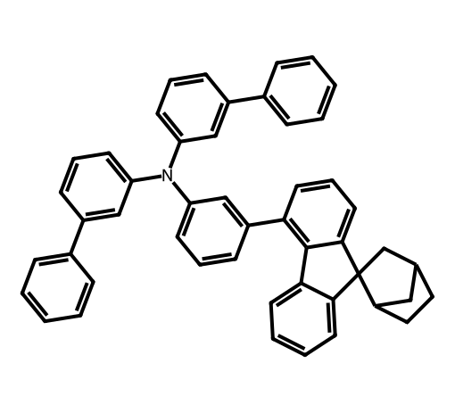 c1ccc(-c2cccc(N(c3cccc(-c4ccccc4)c3)c3cccc(-c4cccc5c4-c4ccccc4C54CC5CCC4C5)c3)c2)cc1